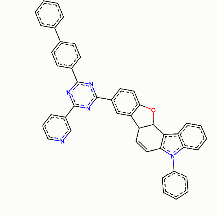 C1=CC2c3cc(-c4nc(-c5ccc(-c6ccccc6)cc5)nc(-c5cccnc5)n4)ccc3OC2c2c1n(-c1ccccc1)c1ccccc21